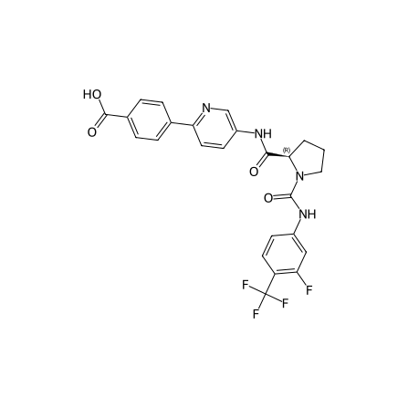 O=C(O)c1ccc(-c2ccc(NC(=O)[C@H]3CCCN3C(=O)Nc3ccc(C(F)(F)F)c(F)c3)cn2)cc1